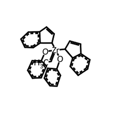 C[CH]=[Zr]([O]c1ccccc1)([O]c1ccccc1)([CH]1C=Cc2ccccc21)[CH]1C=Cc2ccccc21